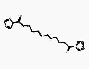 O=C(CCCCCCCCCCC(=O)n1ccnc1)C1C=NC=N1